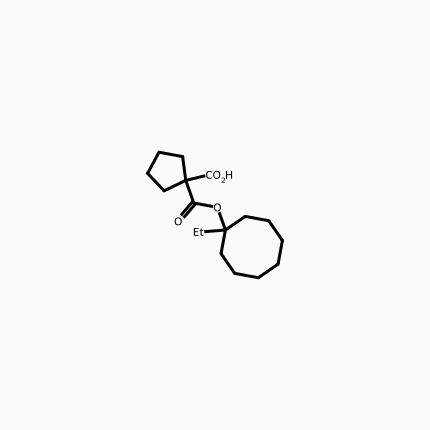 CCC1(OC(=O)C2(C(=O)O)CCCC2)CCCCCCC1